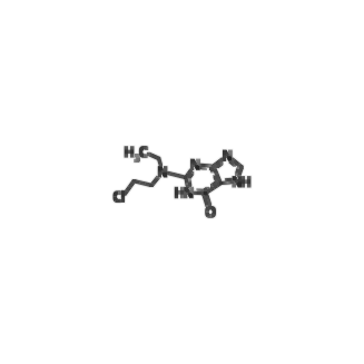 CCN(CCCl)c1nc2nc[nH]c2c(=O)[nH]1